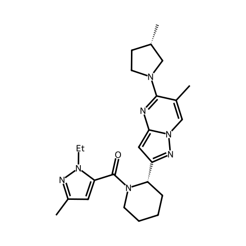 CCn1nc(C)cc1C(=O)N1CCCC[C@H]1c1cc2nc(N3CC[C@H](C)C3)c(C)cn2n1